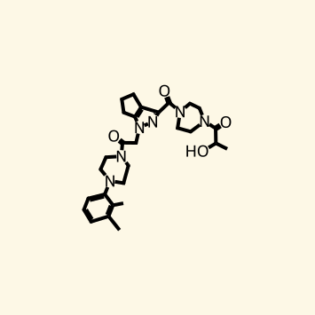 Cc1cccc(N2CCN(C(=O)Cn3nc(C(=O)N4CCN(C(=O)C(C)O)CC4)c4c3CCC4)CC2)c1C